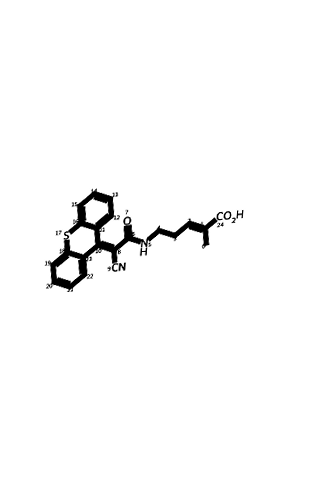 CC(=CCCNC(=O)C(C#N)=C1c2ccccc2Sc2ccccc21)C(=O)O